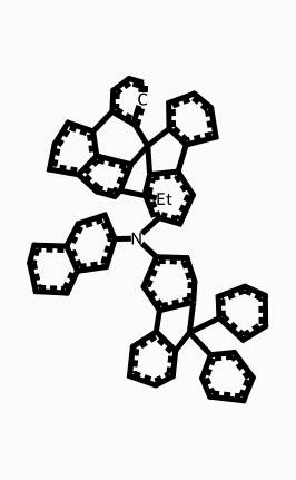 CCc1ccc2cccc3c2c1C1(c2ccccc2-c2ccc(N(c4ccc5c(c4)-c4ccccc4C5(c4ccccc4)c4ccccc4)c4ccc5ccccc5c4)cc21)c1ccccc1-3